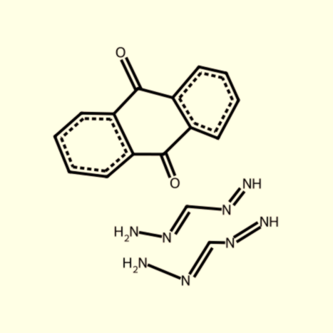 N=NC=NN.N=NC=NN.O=C1c2ccccc2C(=O)c2ccccc21